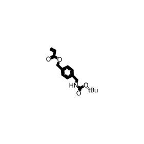 C=CC(=O)OCc1ccc(CNC(=O)OC(C)(C)C)cc1